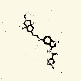 Cn1cc(C(=O)Nc2c[nH]c3ccc(OCCC4C[C@@H]5CN(CC(F)(F)F)C[C@@H]5C4)cc23)nn1